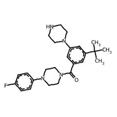 CC(C)(C)c1cc(C(=O)N2CCN(c3ccc(F)cc3)CC2)cc(N2CCNCC2)c1